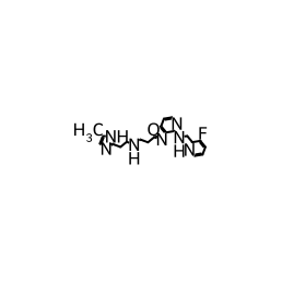 Cc1cnc(CCNCCc2nc3c(NCc4ncccc4F)nccc3o2)[nH]1